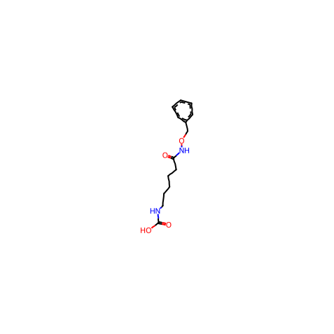 O=C(O)NCCCCCC(=O)NOCc1ccccc1